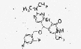 Cc1cc(C(OCc2ccc(F)cc2F)c2cnc(N(C)C)nc2)c(Br)c(=O)[nH]1